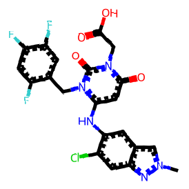 Cn1cc2cc(Nc3cc(=O)n(CC(=O)O)c(=O)n3Cc3cc(F)c(F)cc3F)c(Cl)cc2n1